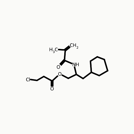 C=C(C)C(=O)NC(COC(=O)CCCl)CC1CCCCC1